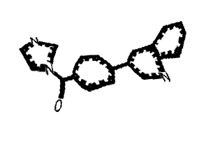 O=C(c1ccc(-c2cnc3ccccc3c2)cc1)n1ccnc1